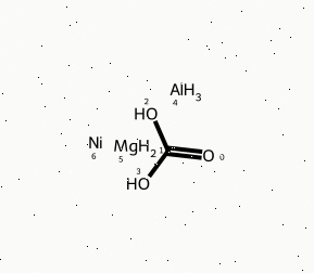 O=C(O)O.[AlH3].[MgH2].[Ni]